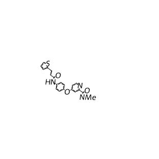 CNC(=O)c1cc(Oc2ccc(NC(=O)C=Cc3cccs3)cc2)ccn1